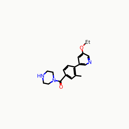 CCOc1cncc(-c2ccc(C(=O)N3CCNCC3)cc2C)c1